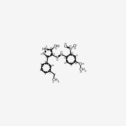 CCc1cccc(-c2n[nH]c(O)c2N=Nc2ccc(OC)cc2[N+](=O)[O-])c1